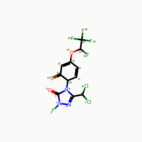 O=c1n(F)nc(C(Cl)Cl)n1C1C=CC(OC(F)C(F)(F)F)=CC1=S